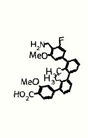 COc1cc(-c2cccc(-c3cccc(-c4cc(F)c(CN)c(OC)c4)c3C)c2C)ccc1C(=O)O